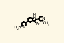 Cc1cc(-c2[nH]c3ccc(-c4ccc(N)nc4)cc3c2C(C)C)ccn1